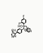 C[C@@H](c1ccc(-c2nncn2C)cc1)[C@](O)(Cn1cncn1)c1ccc(F)cc1F